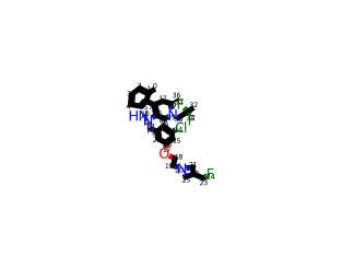 Cc1ccccc1C1=C(N=N)[C@@H](c2c(Cl)cc(OCCN3CC(CF)C3)cc2I)N(CC(C)(F)F)[C@H](C)C1